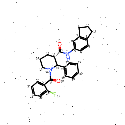 O=C(Nc1ccc2c(c1)CCC2)[C@H]1CCCN(C(=O)c2ccccc2F)C1c1ccccc1